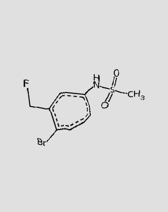 CS(=O)(=O)Nc1ccc(Br)c(CF)c1